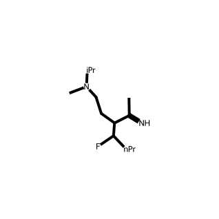 CCCC(F)C(CCN(C)C(C)C)C(C)=N